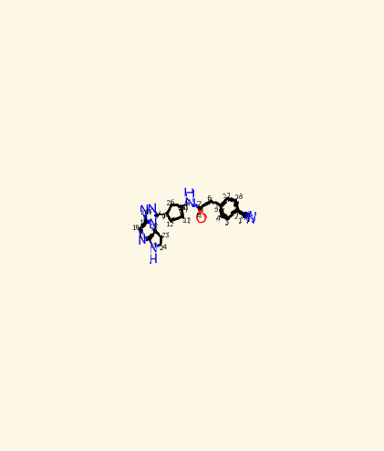 N#Cc1ccc(CC(=O)N[C@H]2CC[C@@H](c3nnc4cnc5c(n34)CCN5)C2)cc1